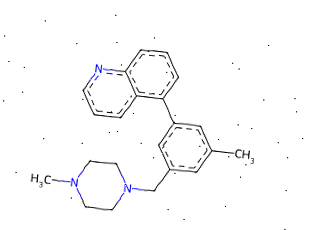 Cc1cc(CN2CCN(C)CC2)cc(-c2cccc3ncccc23)c1